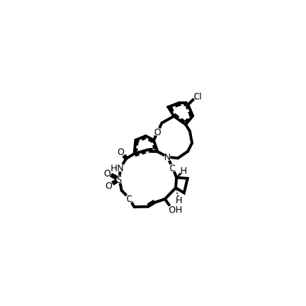 O=C1NS(=O)(=O)CCC/C=C/C(O)[C@@H]2CC[C@H]2CN2CCCCc3cc(Cl)ccc3COc3ccc1cc32